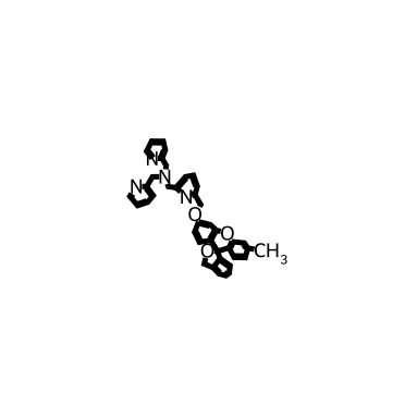 Cc1ccc2c(c1)Oc1cc(OCc3cccc(CN(Cc4ccccn4)Cc4ccccn4)n3)ccc1C21OCc2ccccc21